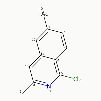 CC(=O)c1ccc2c(Cl)nc(C)cc2c1